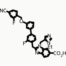 CCn1cncc1Cn1c(Cc2ccc(-c3cccc(OCc4ccc(C#N)cc4F)c3)cc2F)nc2ccc(C(=O)O)cc21